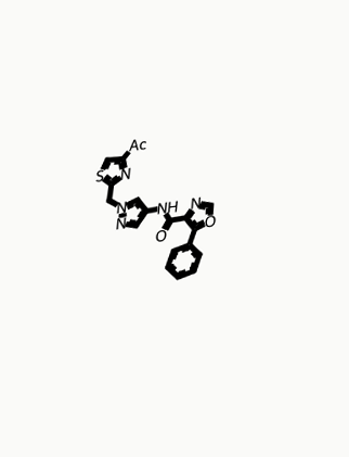 CC(=O)c1csc(Cn2cc(NC(=O)c3ncoc3-c3ccccc3)cn2)n1